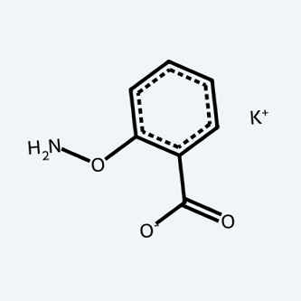 NOc1ccccc1C(=O)[O-].[K+]